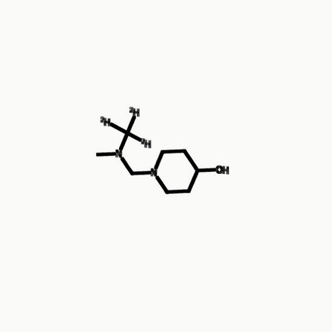 [2H]C([2H])([2H])N(C)CN1CCC(O)CC1